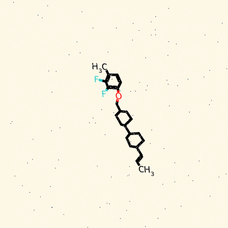 C/C=C/C1CCC(C2CCC(COc3ccc(C)c(F)c3F)CC2)CC1